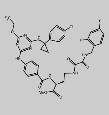 COC(=O)[C@H](CCNC(=O)C(=O)NCc1ccc(F)cc1F)NC(=O)c1ccc(Nc2nc(NC3(c4ccc(Cl)cc4)CC3)nc(OCC(F)(F)F)n2)cc1